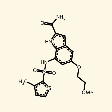 COCCOc1cc(NS(=O)(=O)c2sccc2C)c2[nH]c(C(N)=O)cc2c1